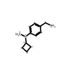 CN(c1ccc(CN)cc1)C1CCC1